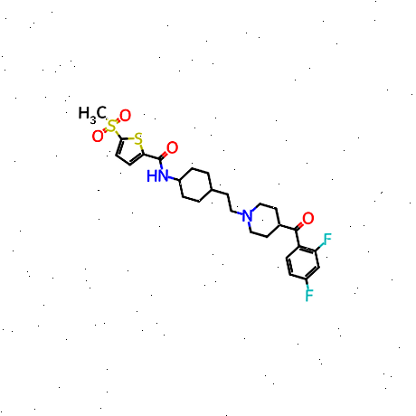 CS(=O)(=O)c1ccc(C(=O)NC2CCC(CCN3CCC(C(=O)c4ccc(F)cc4F)CC3)CC2)s1